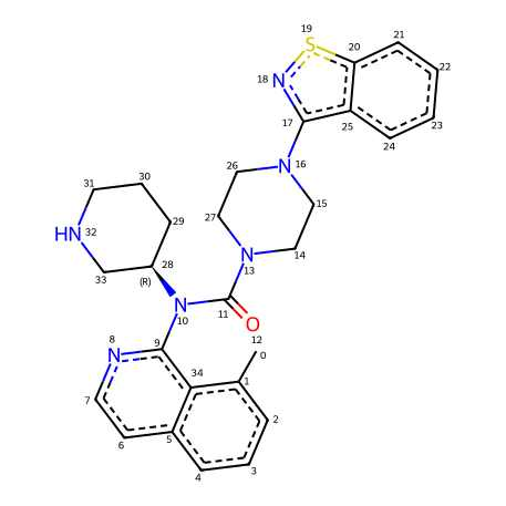 Cc1cccc2ccnc(N(C(=O)N3CCN(c4nsc5ccccc45)CC3)[C@@H]3CCCNC3)c12